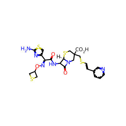 Nc1nc(C(=NOC2CSC2)C(=O)NC2C(=O)N3CC(CSC=Cc4cccnc4)(C(=O)O)CS[C@H]23)cs1